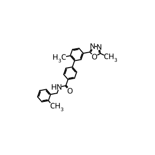 Cc1nnc(-c2ccc(C)c(-c3ccc(C(=O)NCc4ccccc4C)cc3)c2)o1